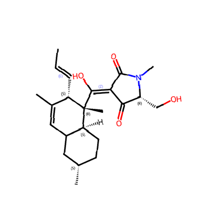 C/C=C/[C@H]1C(C)=CC2C[C@@H](C)CC[C@@H]2[C@@]1(C)/C(O)=C1\C(=O)[C@@H](CO)N(C)C1=O